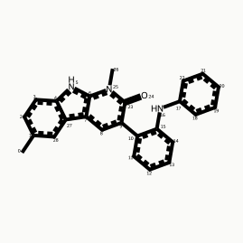 Cc1ccc2[nH]c3c(cc(-c4ccccc4Nc4ccccc4)c(=O)n3C)c2c1